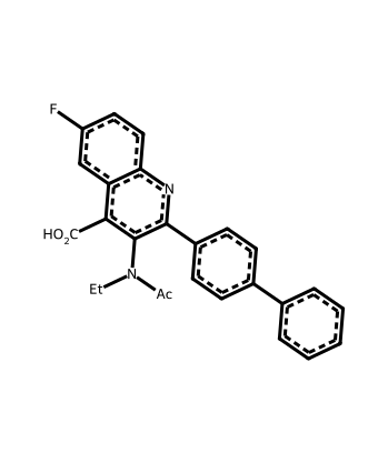 CCN(C(C)=O)c1c(-c2ccc(-c3ccccc3)cc2)nc2ccc(F)cc2c1C(=O)O